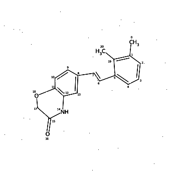 Cc1cccc(C=Cc2ccc3c(c2)NC(=O)CO3)c1C